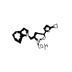 O=C(O)N1OC(c2ccc(Cl)s2)C=C1Cn1ccc2ccccc21